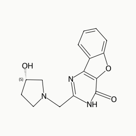 O=c1[nH]c(CN2CC[C@H](O)C2)nc2c1oc1ccccc12